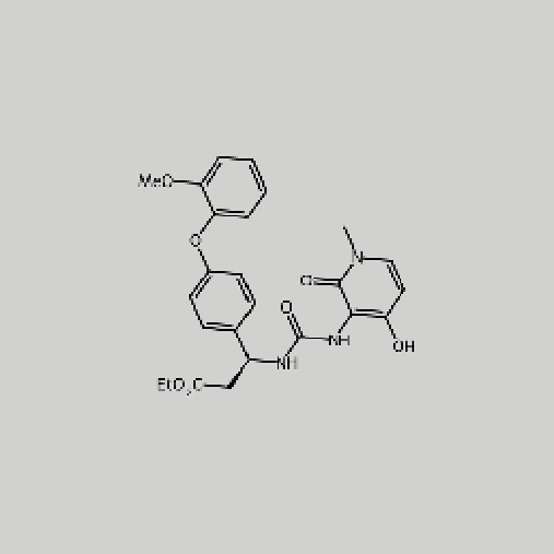 CCOC(=O)C[C@H](NC(=O)Nc1c(O)ccn(C)c1=O)c1ccc(Oc2ccccc2OC)cc1